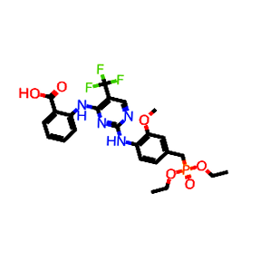 CCOP(=O)(Cc1ccc(Nc2ncc(C(F)(F)F)c(Nc3ccccc3C(=O)O)n2)c(OC)c1)OCC